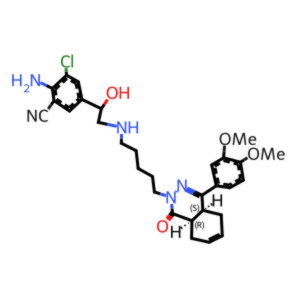 COc1ccc(C2=NN(CCCCCNCC(O)c3cc(Cl)c(N)c(C#N)c3)C(=O)[C@@H]3CC=CC[C@H]23)cc1OC